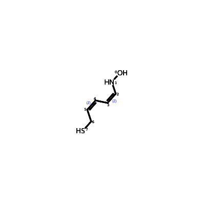 ON/C=C\C=C/CS